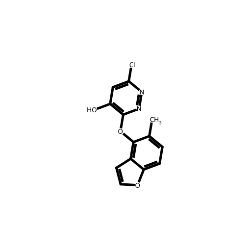 Cc1ccc2occc2c1Oc1nnc(Cl)cc1O